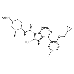 CC(=O)NC1CCC(NC(=O)c2c(C)[nH]c3c(-c4cc(F)ccc4OCC4CC4)ncnc23)C(F)C1